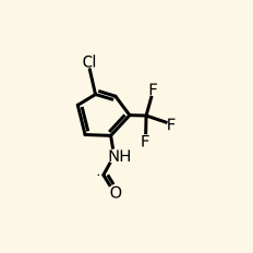 O=[C]Nc1ccc(Cl)cc1C(F)(F)F